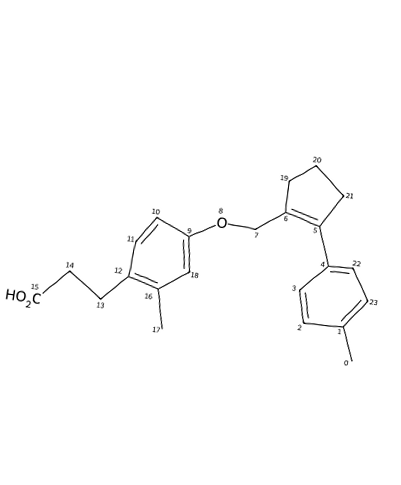 Cc1ccc(C2=C(COc3ccc(CCC(=O)O)c(C)c3)CCC2)cc1